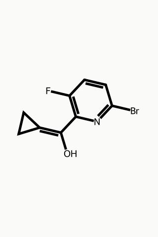 OC(=C1CC1)c1nc(Br)ccc1F